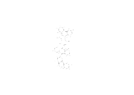 C1=C(c2c3ccccc3c(-c3ccc4ccc5ccccc5c4c3)c3ccccc23)CC2Nc3c(c4ccccc4c4ccccc34)C2=C1